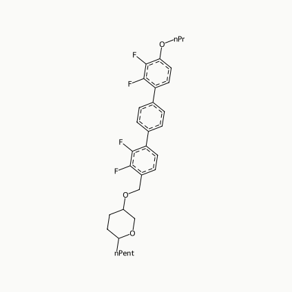 CCCCCC1CCC(OCc2ccc(-c3ccc(-c4ccc(OCCC)c(F)c4F)cc3)c(F)c2F)CO1